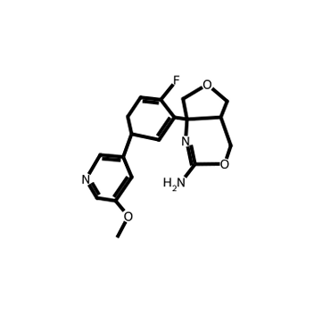 COc1cncc(C2C=C(C34COCC3COC(N)=N4)C(F)=CC2)c1